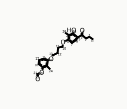 CCCC(=O)c1ccc(OCCCCOc2cccc(OC=O)c2C)c(C)c1O